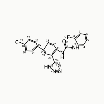 O=C(Nc1ccccc1F)Nc1ccc(-c2ccc(Cl)cc2)cc1-c1nnn[nH]1